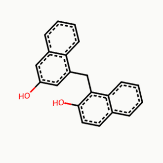 Oc1cc(Cc2c(O)ccc3ccccc23)c2ccccc2c1